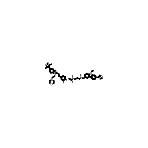 CCn1c2ccc(CNCCCNC(=O)COc3ccc(CCc4nc5cc(-c6c(C)noc6C)ccc5n4CCN4CCOCC4)cc3F)cc2c2ccc(-c3cscn3)cc21